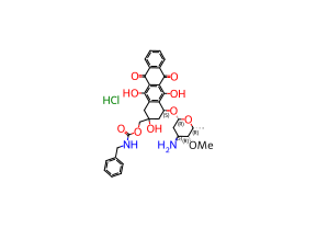 CO[C@@H]1[C@@H](N)C[C@H](O[C@H]2CC(O)(COC(=O)NCc3ccccc3)Cc3c(O)c4c(c(O)c32)C(=O)c2ccccc2C4=O)O[C@@H]1C.Cl